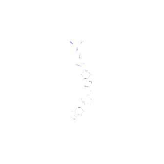 C=C/C(C#N)=C\C(I)=C1/CN=C(c2ccc(NC(=O)CN3CCN(c4ccc(C(F)(F)F)cc4)CC3)cc2)O1